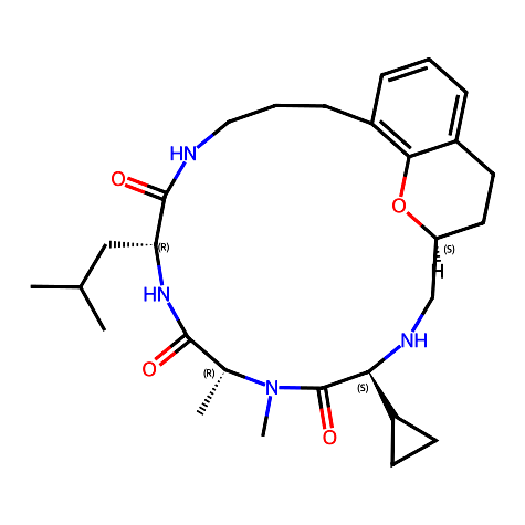 CC(C)C[C@H]1NC(=O)[C@@H](C)N(C)C(=O)[C@H](C2CC2)NC[C@@H]2CCc3cccc(c3O2)CCCNC1=O